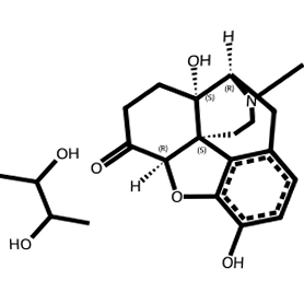 CC(O)C(C)O.CN1CC[C@]23c4c5ccc(O)c4O[C@H]2C(=O)CC[C@@]3(O)[C@H]1C5